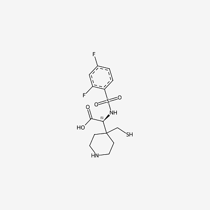 O=C(O)[C@@H](NS(=O)(=O)c1ccc(F)cc1F)C1(CS)CCNCC1